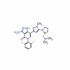 CN(C)C[C@H]1CCCN1c1cc(-c2cn(-c3c(F)cccc3F)c(=O)c3c(N)n[nH]c23)nn1C